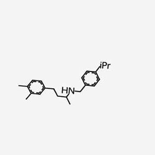 Cc1ccc(CCC(C)NCc2ccc(C(C)C)cc2)cc1C